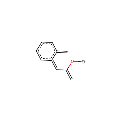 C=C(/C=c1/ccccc1=C)OCC